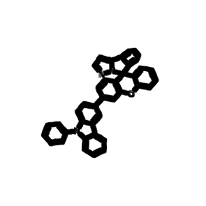 c1ccc(-n2c3ccccc3c3cc(-c4ccc5c(c4)Oc4ccccc4C54c5ccccc5-c5ccnn54)ccc32)cc1